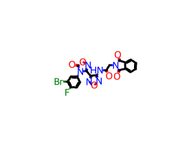 O=C(CN1C(=O)c2ccccc2C1=O)Nc1nonc1-c1noc(=O)n1-c1ccc(F)c(Br)c1